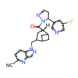 N#Cc1ccc2c(cnn2CC2C[C@H](C(=O)N3N=CCC3c3cncc(F)c3)C3CC2C3)n1